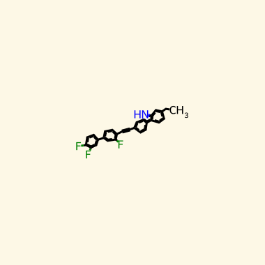 CCc1ccc2c(c1)[nH]c1cc(C#Cc3ccc(-c4ccc(F)c(F)c4)cc3F)ccc12